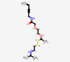 C=CC#CCNC(=O)COCCOC(C)SSCCNC(C)C